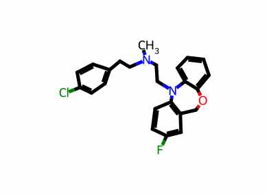 CN(CCc1ccc(Cl)cc1)CCN1c2ccc(F)cc2COc2ccccc21